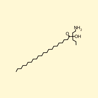 CCCCCCCCCCCCCCCCCCCCCC(=O)C(O)(CCC)CCN